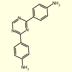 Nc1ccc(-c2ncnc(-c3ccc(N)cc3)n2)cc1